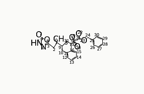 C[C@H](Cc1n[nH]c(=O)o1)[C@@H]1Cc2ccccc2C(S(=O)(=O)C(=O)OCc2ccccc2)C1